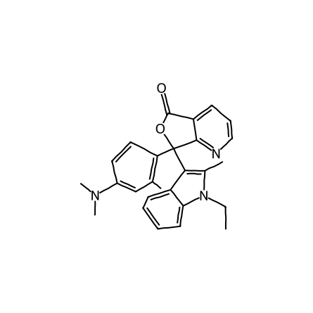 CCn1c(C)c(C2(c3ccc(N(C)C)cc3C)OC(=O)c3cccnc32)c2ccccc21